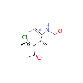 C=C(/C(=C\C)NC=O)C(C(C)=O)[C@@H](C)Cl